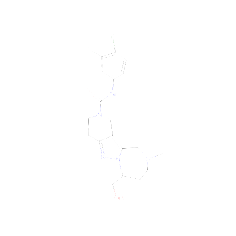 CN1CCC(CO)n2nc3c(c2C1)CN(C(=O)Nc1ccc(F)c(Cl)c1)CC3